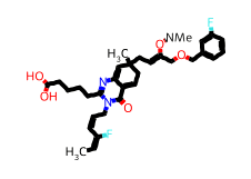 C/C=C(F)\C=C/Cn1c(CCCCC(O)O)nc2c(c1=O)=CCC(C)(C/C=C(/COCc1cccc(F)c1)ONC)C=2